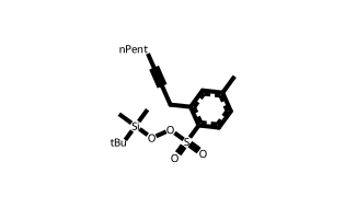 CCCCCC#CCc1cc(C)ccc1S(=O)(=O)OO[Si](C)(C)C(C)(C)C